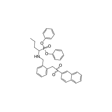 CCCC(NCc1ccccc1CS(=O)(=O)c1ccc2ccccc2c1)P(=O)(Oc1ccccc1)Oc1ccccc1